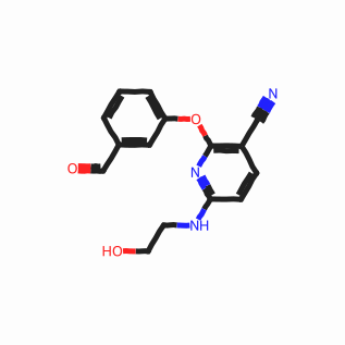 N#Cc1ccc(NCCO)nc1Oc1cccc(C=O)c1